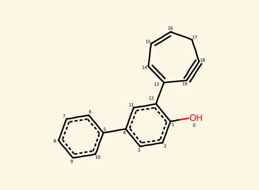 Oc1ccc(-c2ccccc2)cc1C1=CC=CCC#C1